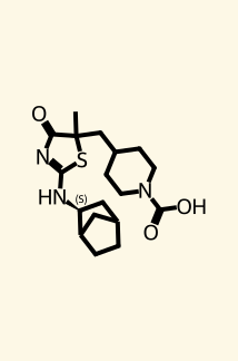 CC1(CC2CCN(C(=O)O)CC2)SC(N[C@H]2CC3CCC2C3)=NC1=O